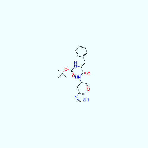 CC(C)(C)OC(=O)NC(Cc1ccccc1)C(=O)NC([C]=O)Cc1c[nH]cn1